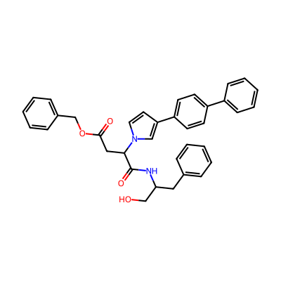 O=C(CC(C(=O)NC(CO)Cc1ccccc1)n1ccc(-c2ccc(-c3ccccc3)cc2)c1)OCc1ccccc1